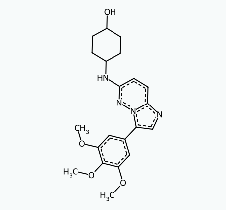 COc1cc(-c2cnc3ccc(NC4CCC(O)CC4)nn23)cc(OC)c1OC